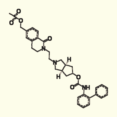 CS(=O)(=O)OCc1ccc2c(c1)CCN(CCN1C[C@H]3CC(OC(=O)Nc4ccccc4-c4ccccc4)C[C@H]3C1)C2=O